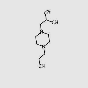 CCCC(C#N)CN1CCN(CCC#N)CC1